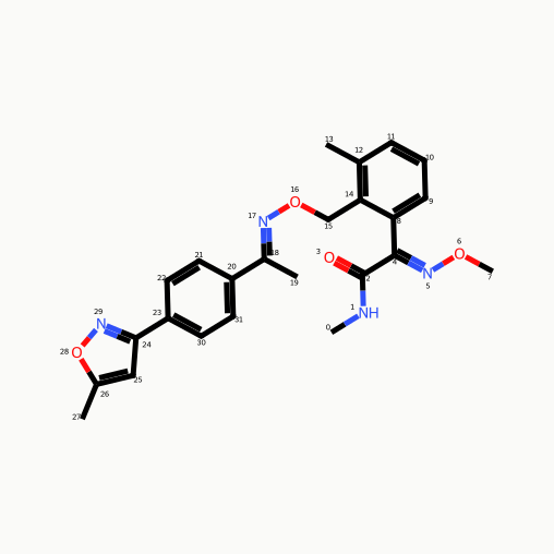 CNC(=O)/C(=N/OC)c1cccc(C)c1CO/N=C(\C)c1ccc(-c2cc(C)on2)cc1